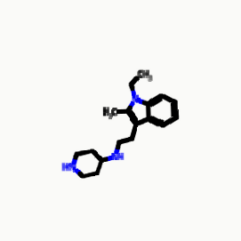 CCn1c(C)c(CCNC2CCNCC2)c2ccccc21